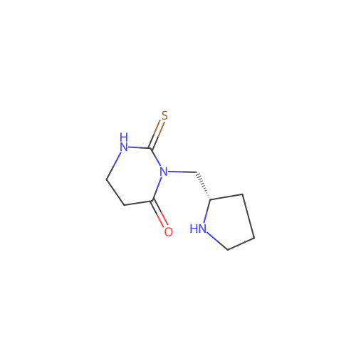 O=C1CCNC(=S)N1C[C@@H]1CCCN1